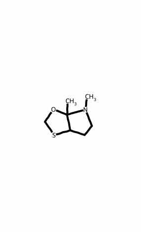 CN1CCC2SCOC21C